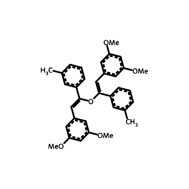 COc1cc(C=C(OC(=Cc2cc(OC)cc(OC)c2)c2cccc(C)c2)c2cccc(C)c2)cc(OC)c1